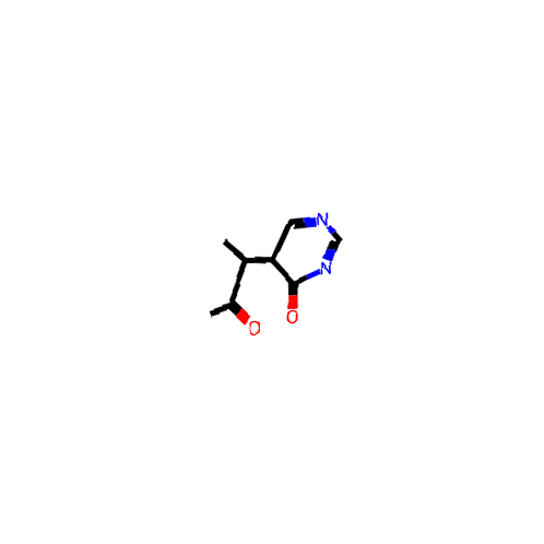 CC(=O)C(C)C1C=NC=NC1=O